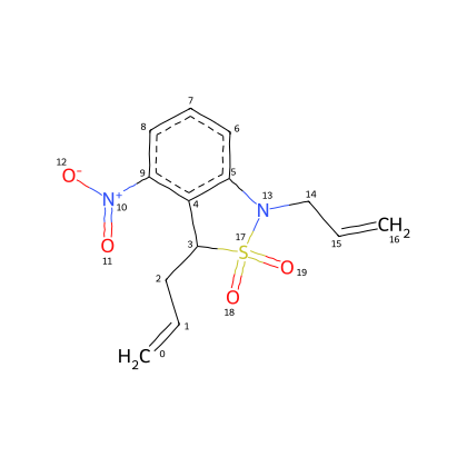 C=CCC1c2c(cccc2[N+](=O)[O-])N(CC=C)S1(=O)=O